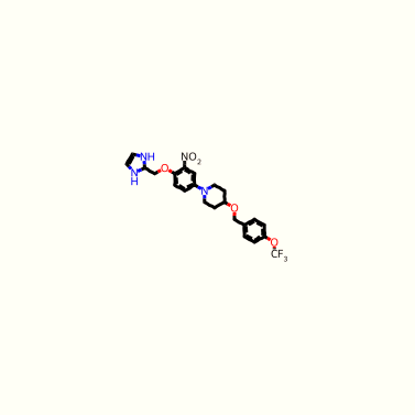 O=[N+]([O-])c1cc(N2CCC(OCc3ccc(OC(F)(F)F)cc3)CC2)ccc1OCC1NC=CN1